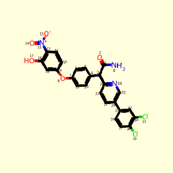 NC(=O)C(c1ccc(Oc2ccc([N+](=O)[O-])c(O)c2)cc1)c1ccc(-c2ccc(Cl)c(Cl)c2)cn1